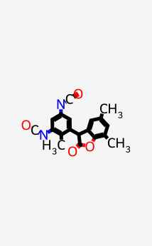 Cc1cc(C)c2c(c1)C(c1cc(N=C=O)cc(N=C=O)c1C)C(=O)O2